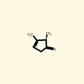 CC1=CCC(=O)[C@@H]1C